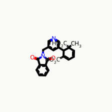 CC1(C(=O)O)C=CC=C(C(=O)O)C1c1cncc(CN2C(=O)c3ccccc3C2=O)c1